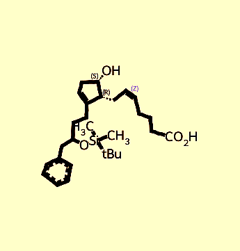 CC(C)(C)[Si](C)(C)OC(CCC1=CC[C@H](O)[C@@H]1C/C=C\CCCC(=O)O)Cc1ccccc1